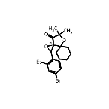 CCc1cc(Br)ccc1C1O[C@]12C(=O)C(C)(C)OC21CCCCC1